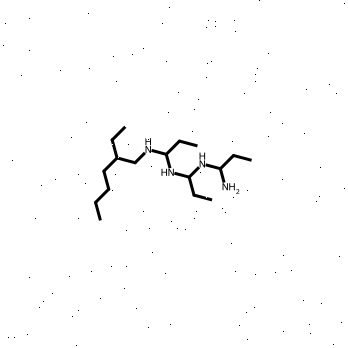 CCCCC(CC)CNC(CC)NC(CC)NC(N)CC